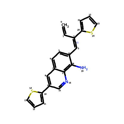 C=C/C(=C\c1ccc2cc(-c3cccs3)cnc2c1N)c1cccs1